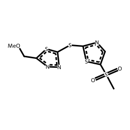 COCc1nnc(Sc2ncc(S(C)(=O)=O)s2)s1